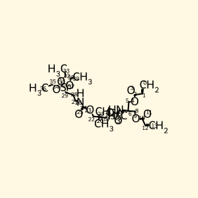 C=CC(=O)OCC(C)(COC(=O)C=C)NC(=O)OCC(C)(C)COC(=O)NCCC[Si](OCC)(OCC)OCC